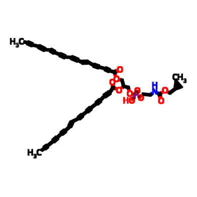 CC#CC#CC#CC#CC#CC#CC#CC#CC(=O)OCC(COP(=O)(O)OCCNC(=O)OCC1C=C1C)OC(=O)C#CC#CC#CC#CC#CC#CC#CC#CC